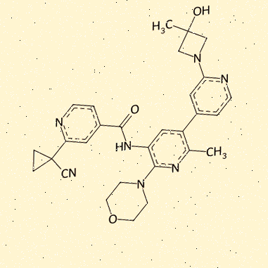 Cc1nc(N2CCOCC2)c(NC(=O)c2ccnc(C3(C#N)CC3)c2)cc1-c1ccnc(N2CC(C)(O)C2)c1